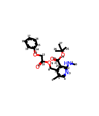 CNc1ncc(C)c(COC(=O)COc2ccccc2)c1C(=O)OC(C)(C)C